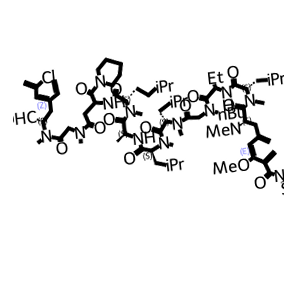 C=C/C(=C\C(=C)Cl)C[C@@H](C=O)N(C)C(=O)CN(C)C(=O)CC(NC(=O)[C@H](CCC(C)C)N(C)C(=O)[C@H](C)NC(=O)[C@H](CC(C)C)N(C)C(=O)[C@H](CC(C)C)N(C)C(=O)CN(CCCC)C(=O)C(CC)NC(=O)[C@H](CC(C)C)N(C)C(=O)[C@H](CC(=C)/C=C(/OC)C(=C)C(=O)NSC)NC)C(=O)N1CCCCC1